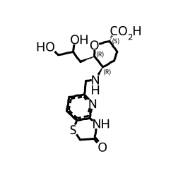 O=C1CSc2ccc(CN[C@@H]3CC[C@@H](C(=O)O)O[C@@H]3CC(O)CO)nc2N1